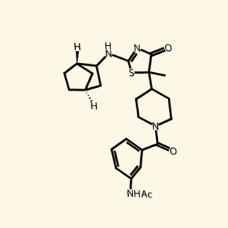 CC(=O)Nc1cccc(C(=O)N2CCC(C3(C)SC(NC4C[C@H]5CC[C@H]4C5)=NC3=O)CC2)c1